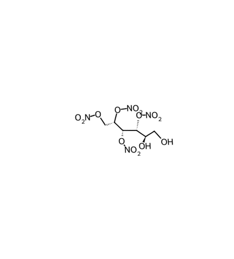 O=[N+]([O-])OC[C@H](O[N+](=O)[O-])[C@@H](O[N+](=O)[O-])[C@H](O[N+](=O)[O-])[C@H](O)CO